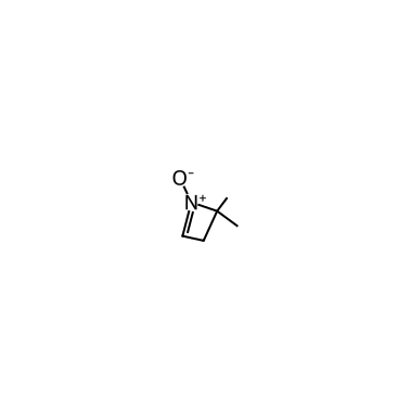 CC1(C)CC=[N+]1[O-]